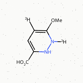 [2H]C1=C(OC)N([2H])NC(C(=O)O)=C1